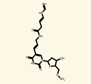 N=CN/C=C/CC(=O)NC/C=C/c1cn(C2CC(O)C(CON)O2)c(=O)[nH]c1=O